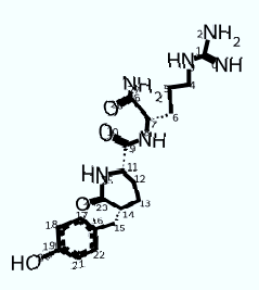 N=C(N)NCCC[C@H](NC(=O)[C@@H]1CC[C@H](Cc2ccc(O)cc2)C(=O)N1)C(N)=O